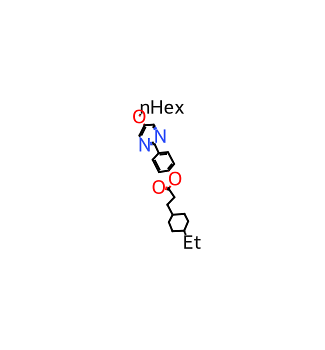 CCCCCCOc1cnc(-c2ccc(OC(=O)CCC3CCC(CC)CC3)cc2)nc1